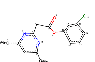 COc1cc(OC)nc(CC(=O)Oc2cccc(Cl)c2)n1